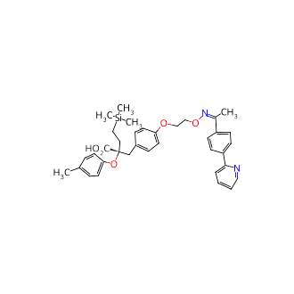 CC(=NOCCOc1ccc(C[C@@](CC[Si](C)(C)C)(Oc2ccc(C)cc2)C(=O)O)cc1)c1ccc(-c2ccccn2)cc1